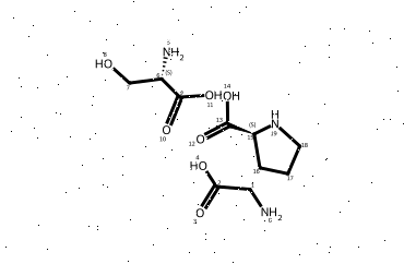 NCC(=O)O.N[C@@H](CO)C(=O)O.O=C(O)[C@@H]1CCCN1